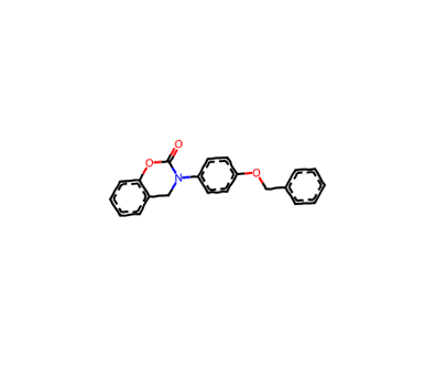 O=C1Oc2ccccc2CN1c1ccc(OCc2ccccc2)cc1